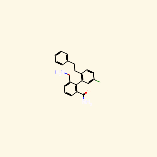 NC(=O)c1cccc(C(N)=O)c1-c1cc(F)ccc1CCc1ccccc1